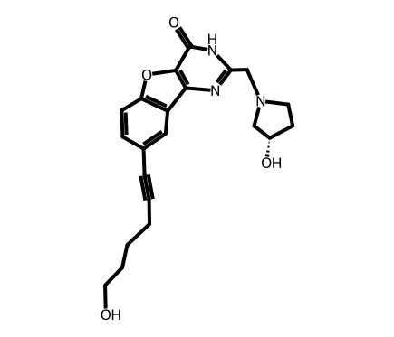 O=c1[nH]c(CN2CC[C@H](O)C2)nc2c1oc1ccc(C#CCCCCO)cc12